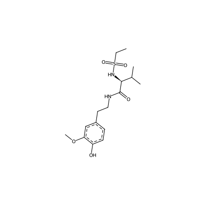 CCS(=O)(=O)N[C@H](C(=O)NCCc1ccc(O)c(OC)c1)C(C)C